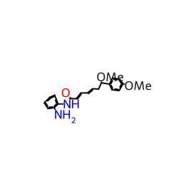 COc1ccc(C(CC=CC=CC(=O)Nc2ccccc2N)OC)cc1